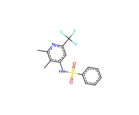 Cc1nc(C(F)(F)F)cc(NS(=O)(=O)c2ccccc2)c1C